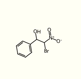 O=[N+]([O-])C(Br)C(O)c1ccccc1